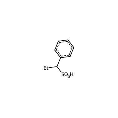 [CH2]CC(c1ccccc1)S(=O)(=O)O